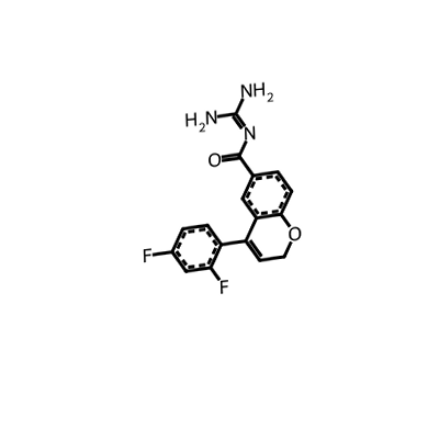 NC(N)=NC(=O)c1ccc2c(c1)C(c1ccc(F)cc1F)=CCO2